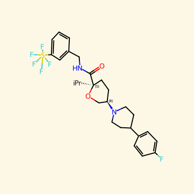 CC(C)[C@]1(C(=O)NCc2cccc(S(F)(F)(F)(F)F)c2)CC[C@@H](N2CCC(c3ccc(F)cc3)CC2)CO1